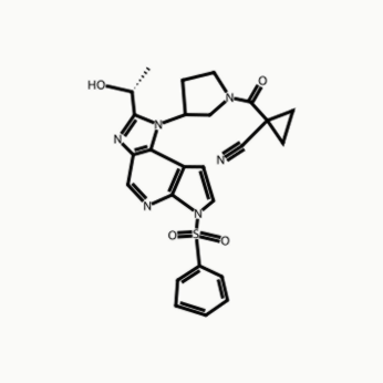 C[C@@H](O)c1nc2cnc3c(ccn3S(=O)(=O)c3ccccc3)c2n1C1CCN(C(=O)C2(C#N)CC2)C1